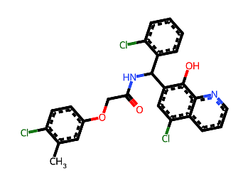 Cc1cc(OCC(=O)NC(c2ccccc2Cl)c2cc(Cl)c3cccnc3c2O)ccc1Cl